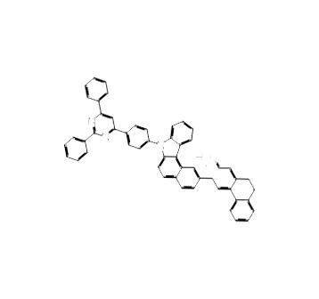 C=C/C=C1/CCc2ccccc2/C1=C/Cc1ccc2ccc3c(c2c1)c1ccccc1n3-c1ccc(-c2cc(-c3ccccc3)nc(-c3ccccc3)n2)cc1